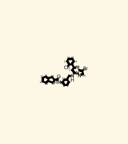 O=C(Nc1cccc(CNc2cc(-c3ccccc3Cl)nc3c(Br)cnn23)c1)C1Cc2ccccc2C1